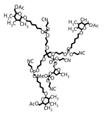 [C-]#[N+]CCOP(OCCCCCCO[C@@H]1OC(COC(C)=O)[C@H](C)[C@H](C)C1C)OCCCOCC(COCCCOP(OCCCCCCO[C@@H]1OC(COC(C)=O)[C@H](C)[C@H](C)C1C)OCC[N+]#[C-])(COCCCOP(OCCCCCCO[C@@H]1OC(COC(C)=O)[C@H](C)[C@H](C)C1C)OCC[N+]#[C-])COP(=O)(OCCC#N)OC[C@H]1O[C@@H](C)CC1OP(=O)(OC)OCC[N+]#[C-]